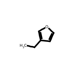 C[CH]c1ccoc1